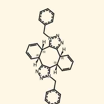 C1=C[C@@H]2c3c(nnn3Cc3ccccc3)[C@@H]3C=CC=C[C@@H]3c3c(nnn3Cc3ccccc3)[C@@H]2C=C1